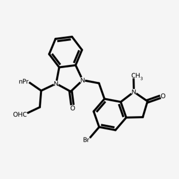 CCCC(CC=O)n1c(=O)n(Cc2cc(Br)cc3c2N(C)C(=O)C3)c2ccccc21